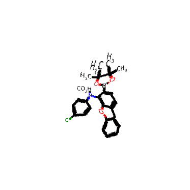 CC1(C)OB(c2ccc3c(oc4ccccc43)c2N(C(=O)O)c2ccc(Cl)cc2)OC1(C)C